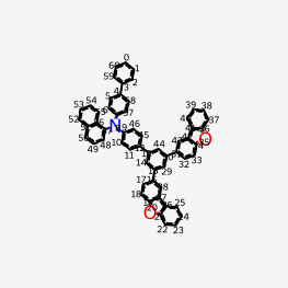 c1ccc(-c2ccc(N(c3ccc(-c4cc(-c5ccc6oc7ccccc7c6c5)cc(-c5ccc6oc7ccccc7c6c5)c4)cc3)c3cccc4ccccc34)cc2)cc1